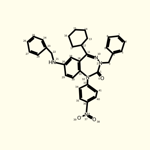 O=C1N(Cc2ccccc2)N=C(C2CCCCC2)c2cc(NCc3ccccc3)ccc2N1c1ccc([N+](=O)[O-])cc1